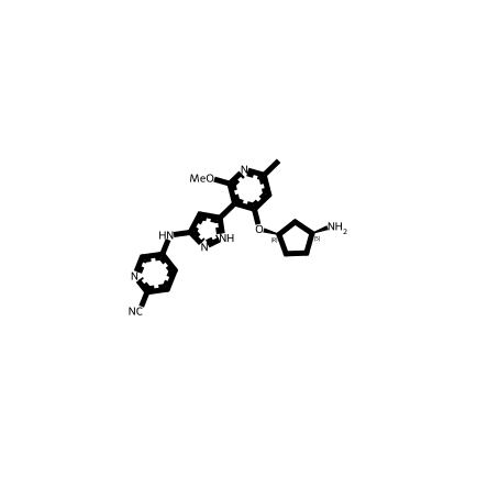 COc1nc(C)cc(O[C@@H]2CC[C@H](N)C2)c1-c1cc(Nc2ccc(C#N)nc2)n[nH]1